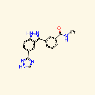 CC(C)NC(=O)c1cccc(-c2n[nH]c3ccc(-c4nc[nH]n4)cc23)c1